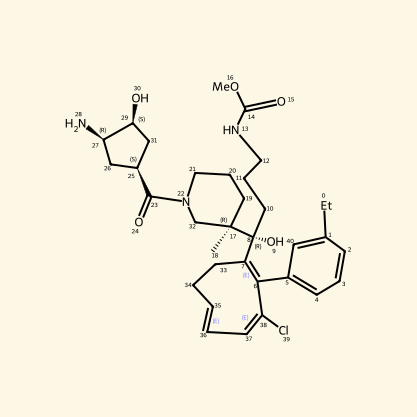 CCc1cccc(C2=C(\[C@](O)(CCCNC(=O)OC)[C@]3(C)CCCN(C(=O)[C@H]4C[C@@H](N)[C@@H](O)C4)C3)CC/C=C/C=C\2Cl)c1